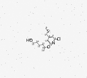 CSCc1cc(Cl)nc(OC(C)CCCCO)c1